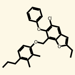 CCCc1ccc(OCc2c(Oc3ccccc3)c(Cl)cc3cc(CC)oc23)c(C)c1C